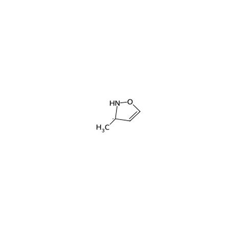 C[C]1C=CON1